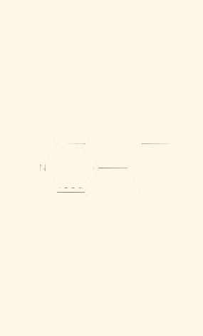 CCC(C)c1ccncc1